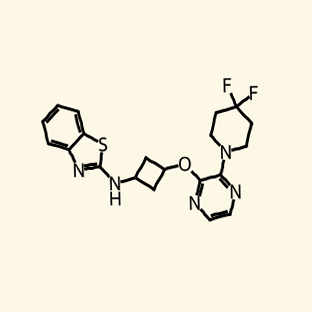 FC1(F)CCN(c2nccnc2OC2CC(Nc3nc4ccccc4s3)C2)CC1